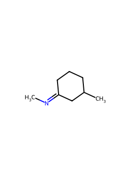 C/N=C1\CCCC(C)C1